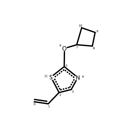 C=Cc1cnc(OC2CCC2)s1